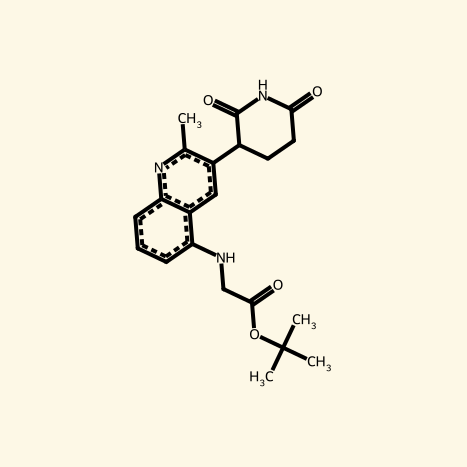 Cc1nc2cccc(NCC(=O)OC(C)(C)C)c2cc1C1CCC(=O)NC1=O